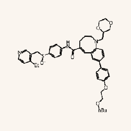 CCCCOCCOc1ccc(-c2ccc3c(c2)/C=C(/C(=O)Nc2ccc([S+]([O-])Cc4cnccc4CC)cc2)CCCN3CC2COCCO2)cc1